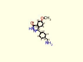 COc1ccc2c(-c3ccc(CN)cc3)n[nH]c(=O)c2c1